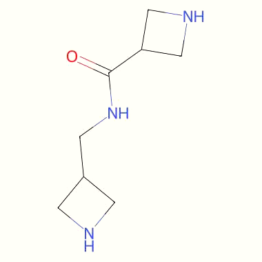 O=C(NCC1CNC1)C1CNC1